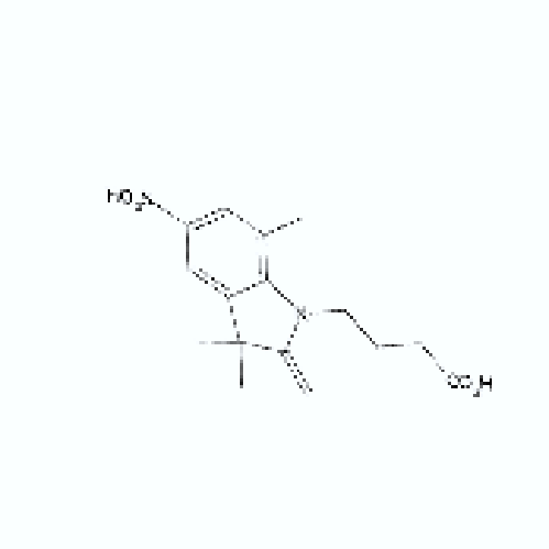 C=C1N(CCCC(=O)O)c2c(C)cc(S(=O)(=O)O)cc2C1(C)C